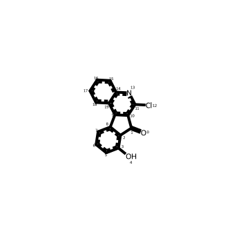 O=C1c2c(O)cccc2-c2c1c(Cl)nc1ccccc21